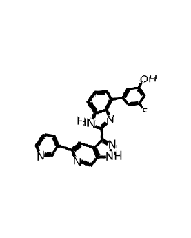 Oc1cc(F)cc(-c2cccc3[nH]c(-c4n[nH]c5cnc(-c6cccnc6)cc45)nc23)c1